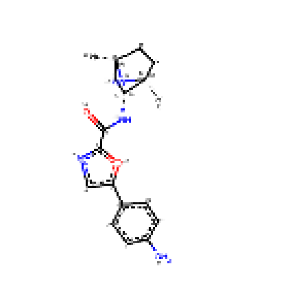 Nc1ccc(-c2cnc(C(=O)N[C@@H]3C[C@H]4CC[C@@H]3N4)o2)cc1